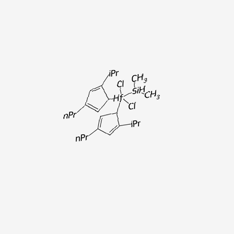 CCCC1=C[CH]([Hf]([Cl])([Cl])([CH]2C=C(CCC)C=C2C(C)C)[SiH](C)C)C(C(C)C)=C1